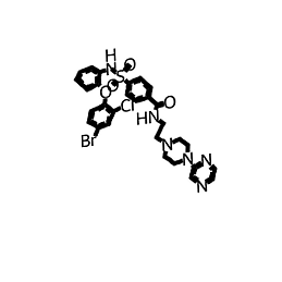 O=C(NCCN1CCN(c2cnccn2)CC1)c1ccc(S(=O)(=O)Nc2ccccc2Oc2ccc(Br)cc2Cl)cc1